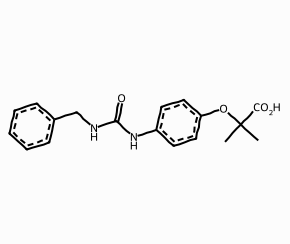 CC(C)(Oc1ccc(NC(=O)NCc2ccccc2)cc1)C(=O)O